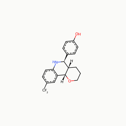 Oc1ccc([C@@H]2Nc3ccc(C(F)(F)F)cc3[C@H]3OCCC[C@H]32)cc1